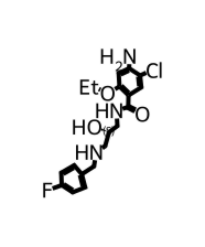 CCOc1cc(N)c(Cl)cc1C(=O)NC[C@@H](O)CNCc1ccc(F)cc1